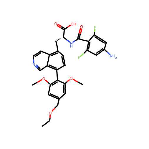 CCOCc1cc(OC)c(-c2ccc(C[C@@H](NC(=O)c3c(F)cc(N)cc3F)C(=O)O)c3ccncc23)c(OC)c1